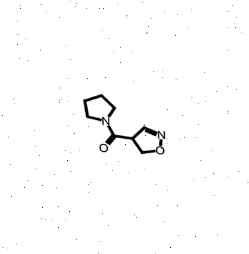 O=C(C1[C]=NOC1)N1CCCC1